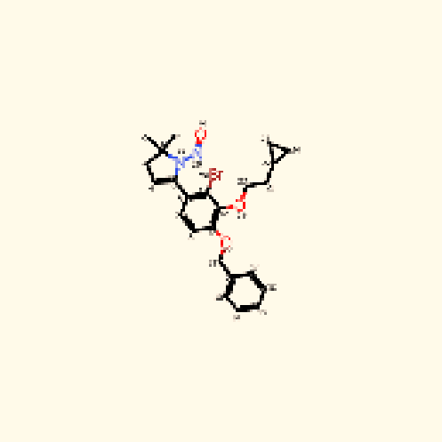 CC1(C)CC=C(c2ccc(OCc3ccccc3)c(OCCC3CC3)c2Br)N1N=O